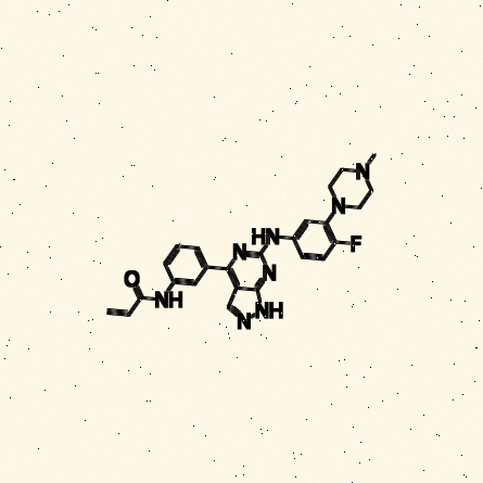 C=CC(=O)Nc1cccc(-c2nc(Nc3ccc(F)c(N4CCN(C)CC4)c3)nc3[nH]ncc23)c1